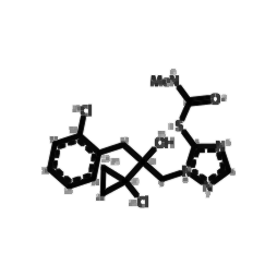 CNC(=O)Sc1ncnn1CC(O)(Cc1ccccc1Cl)C1(Cl)CC1